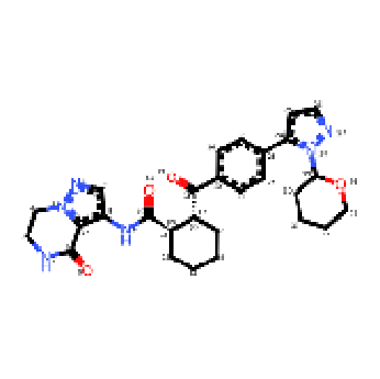 O=C1NCCn2ncc(NC(=O)[C@@H]3CCCC[C@H]3C(=O)c3ccc(-c4ccnn4C4CCCCO4)cc3)c21